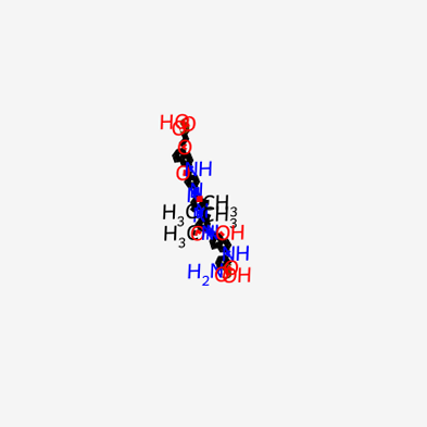 COc1cc(N=Nc2c(C)cc(N=Nc3ccc(C(=O)Nc4ccc5c(OCCCCS(=O)(=O)O)cccc5c4)cc3)cc2C)c(C)cc1N=Nc1ccc2cc(Nc3ccc(N)c(S(=O)(=O)O)c3)ccc2c1O